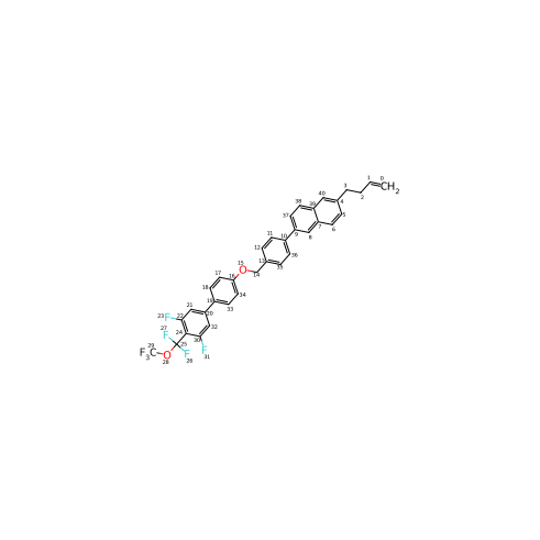 C=CCCc1ccc2cc(-c3ccc(COc4ccc(-c5cc(F)c(C(F)(F)OC(F)(F)F)c(F)c5)cc4)cc3)ccc2c1